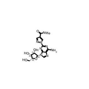 CNC(=O)c1cnn(-c2nc(N)c3ncn([C@@H]4O[C@H](CO)[C@H](O)[C@@H]4O)c3n2)c1